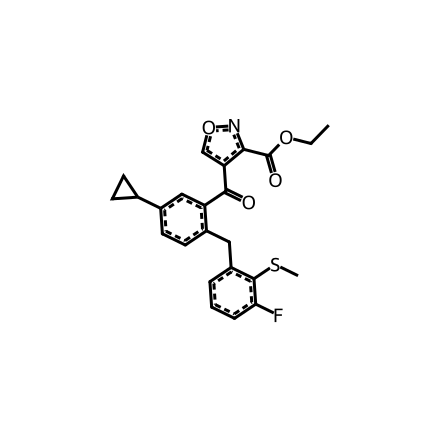 CCOC(=O)c1nocc1C(=O)c1cc(C2CC2)ccc1Cc1cccc(F)c1SC